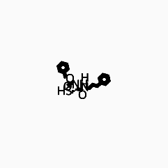 O=C(N[C@@H](CS)C(=O)NCCCc1ccccc1)OCc1ccccc1